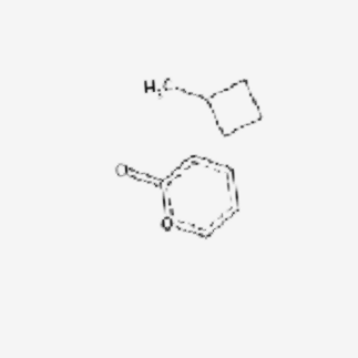 CC1CCC1.O=c1cccco1